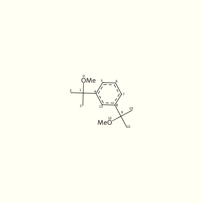 COC(C)(C)c1cccc(C(C)(C)OC)c1